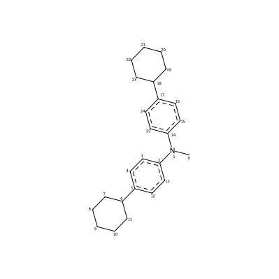 CN(c1ccc(C2CCCCC2)cc1)c1ccc(C2CCCCC2)cc1